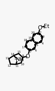 CCOc1ccc2cc(OC3CC4CCC(C3)N4)ccc2c1